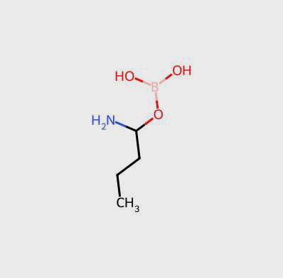 CCCC(N)OB(O)O